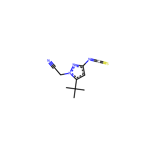 CC(C)(C)c1cc(N=C=S)nn1CC#N